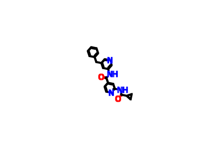 O=C(Nc1cncc(Cc2ccccc2)c1)c1ccnc(NC(=O)C2CC2)c1